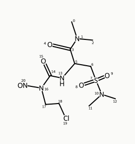 CN(C)C(=O)C(CS(=O)(=O)N(C)C)NC(=O)N(CCCl)N=O